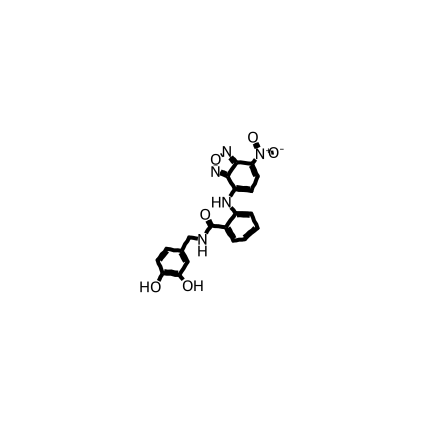 O=C(NCc1ccc(O)c(O)c1)c1ccccc1Nc1ccc([N+](=O)[O-])c2nonc12